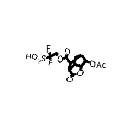 CC(=O)OC1C2CC3C1OC(=O)C3C2C(=O)OCC(F)(F)S(=O)(=O)O